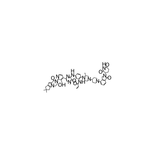 C=CC(=O)Nc1cc(Nc2nc(-c3ccnc(N4CCn5c(cc6c5CC(C)(C)C6)C4=O)c3CO)cn(C)c2=O)ccc1N1CCN(C2CCN(c3cccc4c3CN(C3CCC(=O)NC3=O)C4=O)CC2)C[C@@H]1C